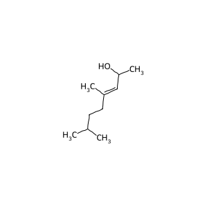 C/C(=C\C(C)O)CCC(C)C